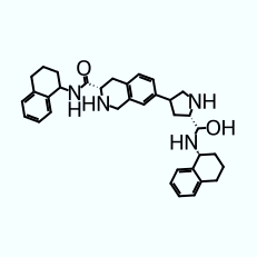 O=C(NC1CCCc2ccccc21)[C@@H]1Cc2ccc(C3CN[C@H](C(O)N[C@@H]4CCCc5ccccc54)C3)cc2CN1